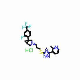 Cc1ncccc1-c1nnc(SCCCN2CC3CC3(c3ccc(C(F)(F)F)cc3F)C2)n1C.Cl